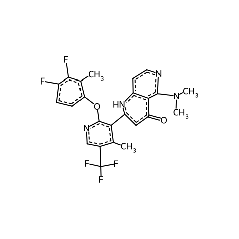 Cc1c(Oc2ncc(C(F)(F)F)c(C)c2-c2cc(=O)c3c(N(C)C)nccc3[nH]2)ccc(F)c1F